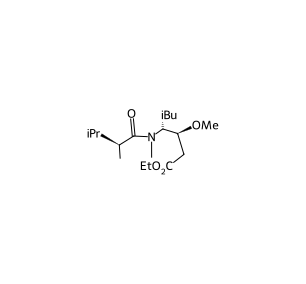 CCOC(=O)C[C@H](OC)C([C@@H](C)CC)N(C)C(=O)[C@@H](C)C(C)C